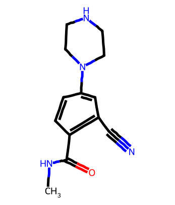 CNC(=O)c1ccc(N2CCNCC2)cc1C#N